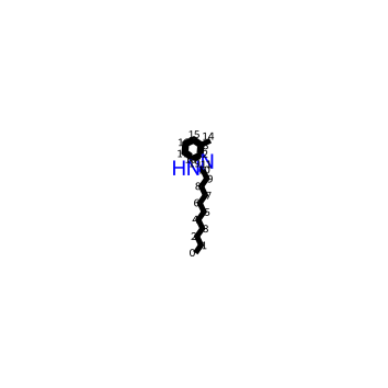 CCCCCCCCCCc1nc2c(C)cccc2[nH]1